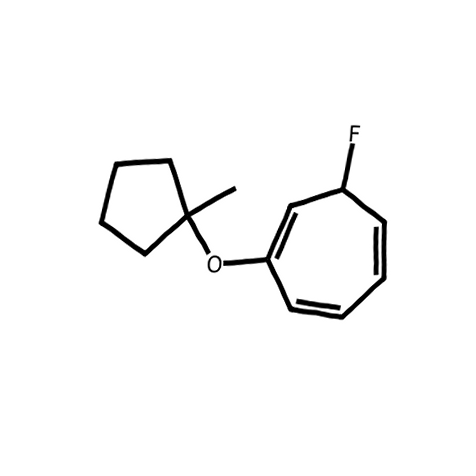 CC1(OC2=CC(F)C=CC=C2)CCCC1